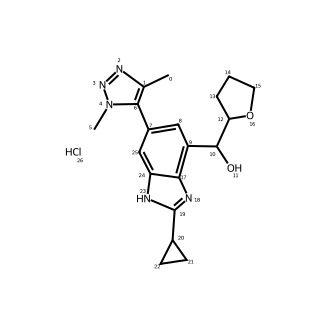 Cc1nnn(C)c1-c1cc(C(O)C2CCCO2)c2nc(C3CC3)[nH]c2c1.Cl